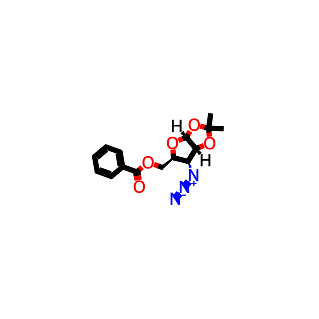 CC1(C)O[C@H]2O[C@H](COC(=O)c3ccccc3)[C@@H](N=[N+]=[N-])[C@H]2O1